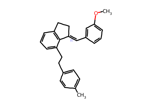 COc1cccc(/C=C2\CCc3cccc(CCc4ccc(C)cc4)c32)c1